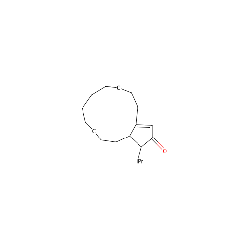 CC(C)C1C(=O)C=C2CCCCCCCCCCC21